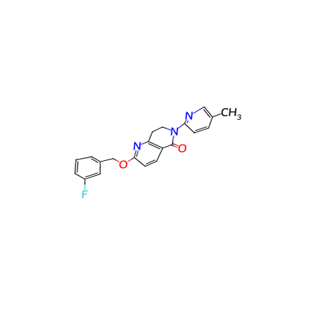 Cc1ccc(N2CCc3nc(OCc4cccc(F)c4)ccc3C2=O)nc1